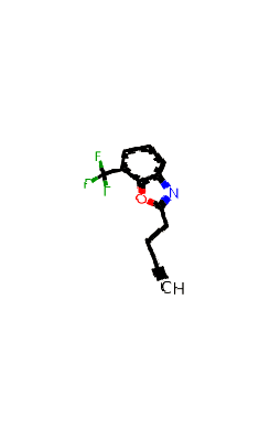 C#CCCc1nc2cccc(C(F)(F)F)c2o1